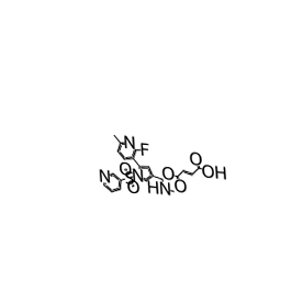 CNC(OC(=O)/C=C/C(=O)O)c1cc(-c2ccc(C)nc2F)n(S(=O)(=O)c2cccnc2)c1